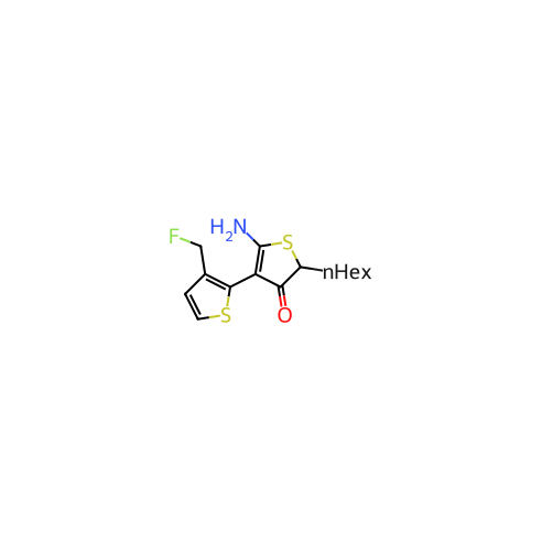 CCCCCCC1SC(N)=C(c2sccc2CF)C1=O